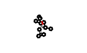 c1ccc(-c2ccc(N(c3cccc(-n4c5ccccc5c5ccccc54)c3)c3ccc4c(c3)-c3ccccc3C43C4CC5CC(C4)CC3C5)c(-c3ccccc3)c2)cc1